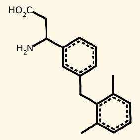 Cc1cccc(C)c1Cc1cccc(C(N)CC(=O)O)c1